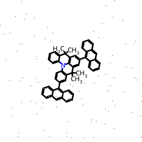 CC1(C)c2ccccc2N2c3ccc(-c4c5ccccc5cc5ccccc45)cc3C(C)(C)c3cc(-c4c5ccccc5cc5ccccc45)cc1c32